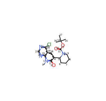 Cn1c(=O)c(C2CCCCN2C(=O)OC(C)(C)C)cc2c(Cl)ncnc21